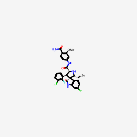 COc1cc(NC(=O)[C@H]2N[C@H](CC(C)(C)C)[C@]3(C(=O)Nc4cc(Cl)ccc43)[C@H]2c2cccc(Cl)c2F)ccc1C(N)=O